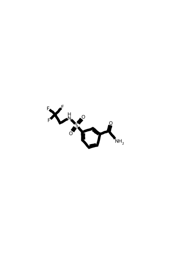 NC(=O)c1cccc(S(=O)(=O)NCC(F)(F)F)c1